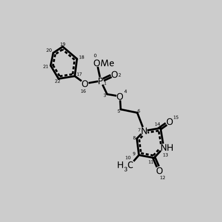 COP(=O)(COCCn1cc(C)c(=O)[nH]c1=O)Oc1ccccc1